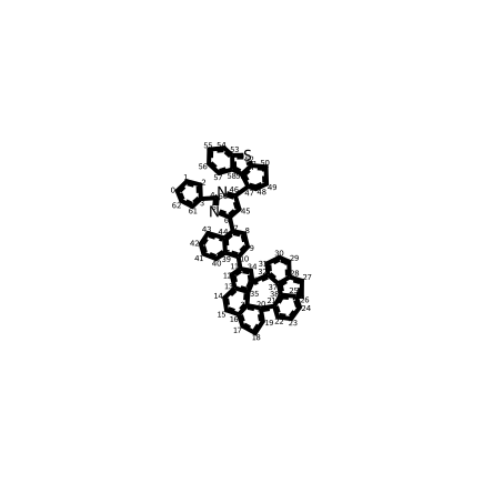 c1ccc(-c2nc(-c3ccc(-c4cc5ccc6cccc7c8cccc9ccc%10cccc(c(c4)c5c67)c%10c98)c4ccccc34)cc(-c3cccc4sc5ccccc5c34)n2)cc1